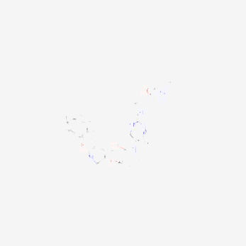 CC(C)NC(=O)C1CN(c2ncc(N3CC[C@@H](Oc4ccc(Oc5ccc(F)cc5)nc4)C3=O)cn2)C1